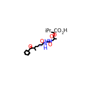 CC(C)CC(OC(=O)C(C)CNC(=O)CNC(=O)/C=C/CCC(C)C1OC1c1ccccc1)C(=O)O